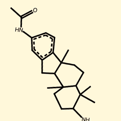 CC(=O)Nc1ccc2c(c1)CC1C2(C)CCC2C(C)(C)C(N)CCC12C